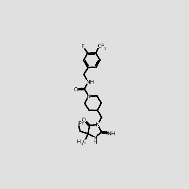 CC(C)CC1(C)NC(=N)N(CC2CCN(C(=O)NCc3ccc(C(F)(F)F)c(F)c3)CC2)C1=O